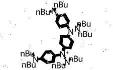 CCCCN(CCCC)c1ccc([N+](=C2C=CC(=[N+](c3ccc(N(CCCC)CCCC)cc3)N(CCCC)CCCC)C=C2)N(CCCC)CCCC)cc1